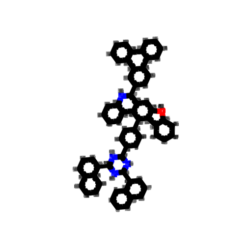 c1ccc2c(-c3nc(-c4ccc(-c5c6c(cc7c(-c8ccc9c%10ccccc%10c%10ccccc%10c9c8)nc8ccccc8c57)oc5ccccc56)cc4)nc(-c4cccc5ccccc45)n3)cccc2c1